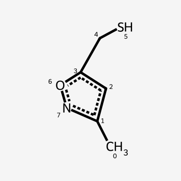 Cc1cc(CS)on1